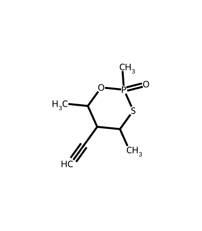 C#CC1C(C)OP(C)(=O)SC1C